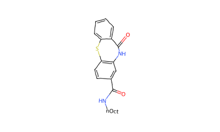 CCCCCCCCNC(=O)c1ccc2c(c1)NC(=O)c1ccccc1S2